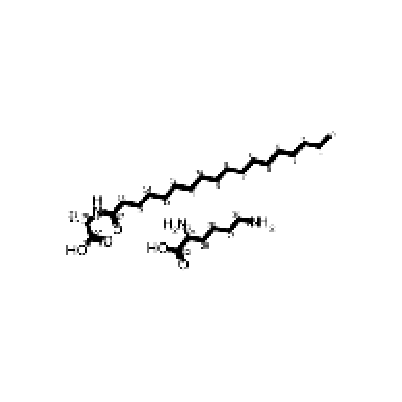 CCCCCCCCCCCCCCCCCC(=O)N[C@@H](C)C(=O)O.NCCCC[C@H](N)C(=O)O